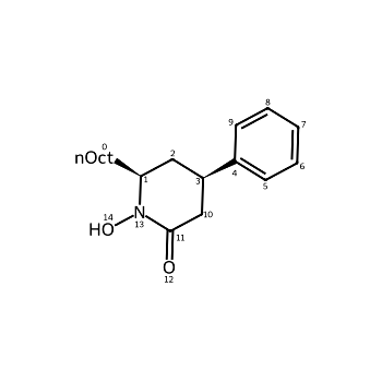 CCCCCCCC[C@H]1C[C@@H](c2ccccc2)CC(=O)N1O